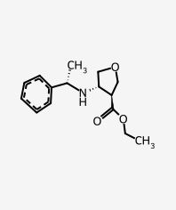 CCOC(=O)[C@@H]1COC[C@H]1N[C@@H](C)c1ccccc1